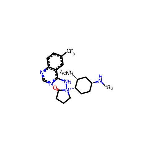 CC(=O)N[C@@H]1C[C@@H](NC(C)(C)C)CC[C@@H]1[N+]1(Nc2ncnc3ccc(C(F)(F)F)cc23)CCCC1=O